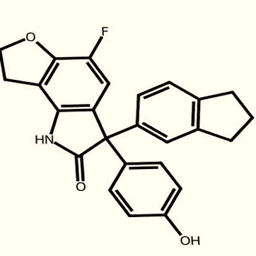 O=C1Nc2c(cc(F)c3c2CCO3)C1(c1ccc(O)cc1)c1ccc2c(c1)CCC2